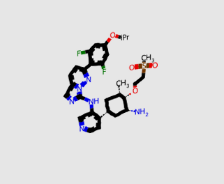 CC(C)Oc1cc(F)c(-c2ccc3cnc(Nc4cnccc4[C@H]4C[C@@H](N)[C@@H](OCCS(C)(=O)=O)[C@@H](C)C4)n3n2)c(F)c1